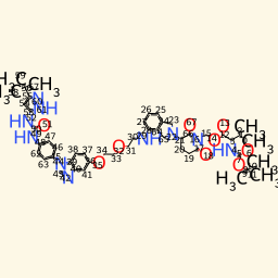 CC(C)[C@H](NC(=O)OC(C)(C)C)C(=O)OCN1C(=O)CCC(N2Cc3cccc(NCCOCCOc4ccc5c(c4)ncn5-c4ccc(NC(=O)Nc5cc(C(C)(C)C)n[nH]5)cc4)c3C2)C1=O